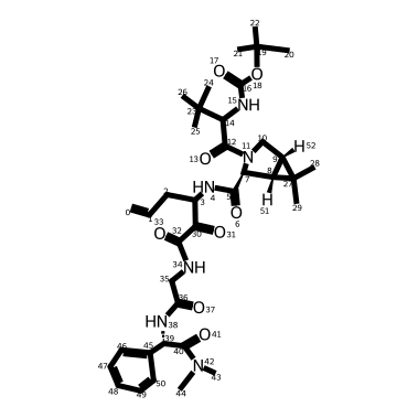 C=CCC(NC(=O)[C@@H]1[C@@H]2[C@H](CN1C(=O)C(NC(=O)OC(C)(C)C)C(C)(C)C)C2(C)C)C(=O)C(=O)NCC(=O)N[C@H](C(=O)N(C)C)c1ccccc1